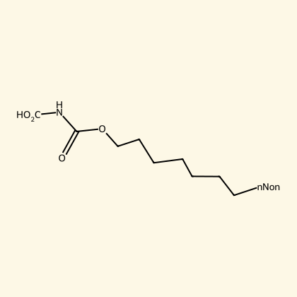 CCCCCCCCCCCCCCCCOC(=O)NC(=O)O